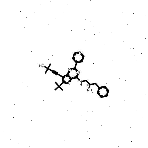 CC(C)(O)C#Cc1c(C(C)(C)C)sc2c(NC[C@H](N)Cc3ccccc3)nc(-c3ccncc3)nc12